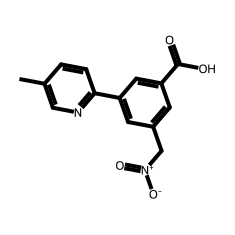 Cc1ccc(-c2cc(C[N+](=O)[O-])cc(C(=O)O)c2)nc1